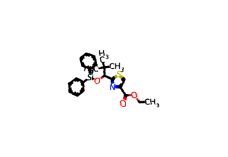 CCOC(=O)c1csc(C(O[SiH](c2ccccc2)c2ccccc2)C(C)(C)C)n1